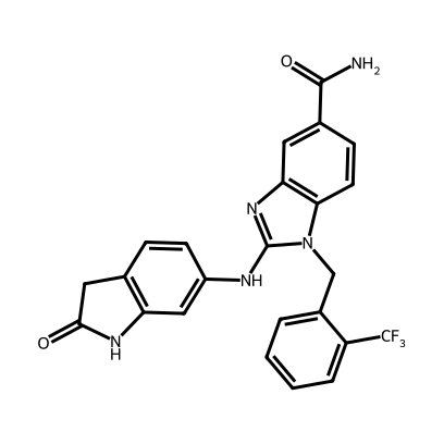 NC(=O)c1ccc2c(c1)nc(Nc1ccc3c(c1)NC(=O)C3)n2Cc1ccccc1C(F)(F)F